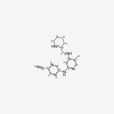 Cc1cnc(Nc2cnc(C#N)cn2)cc1NCC1CCCCN1